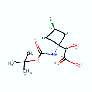 CC(C)(C)OC(=O)N[C@]1(C(O)C(=O)O)C[C@@H](F)C1